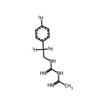 [2H]c1ccc(C([2H])([2H])CNC(=N)NC(C)=N)cc1